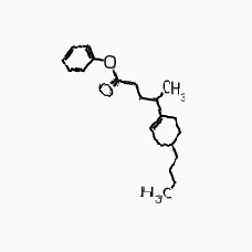 CCCCC1CC=C(C(C)CCC(=O)Oc2ccccc2)CC1